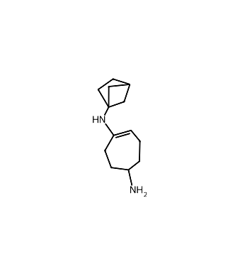 NC1CCC=C(NC23CCC(C2)C3)CC1